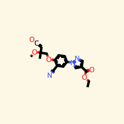 CCOC(=O)c1cnn(-c2ccc(OCC(C)(C=C=O)OC)c(C#N)c2)c1